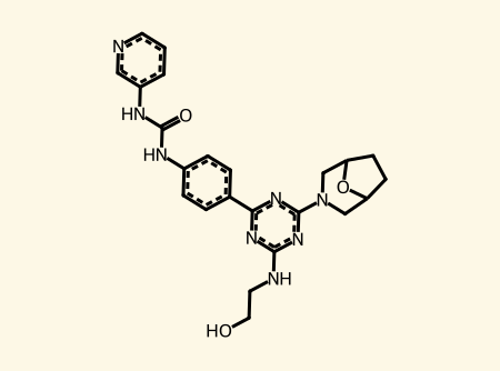 O=C(Nc1ccc(-c2nc(NCCO)nc(N3CC4CCC(C3)O4)n2)cc1)Nc1cccnc1